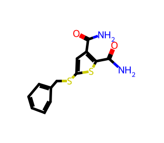 NC(=O)c1cc(SCc2ccccc2)sc1C(N)=O